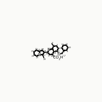 Cc1ccc(O[C@@H](C)c2ccccc2)c2c(C(=O)O)cc(-c3cc4ccccn4c3C)nc12